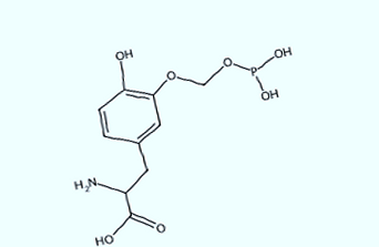 NC(Cc1ccc(O)c(OCOP(O)O)c1)C(=O)O